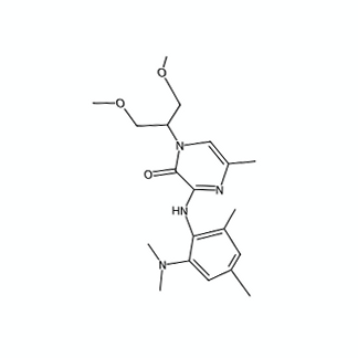 COCC(COC)n1cc(C)nc(Nc2c(C)cc(C)cc2N(C)C)c1=O